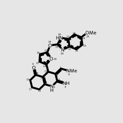 CN/C=C1\C(=N)NC2=C(C(=O)CCC2)C1c1ccc(Oc2nc3ccc(OC)cc3[nH]2)o1